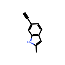 C#Cc1ccc2cc(C)[nH]c2c1